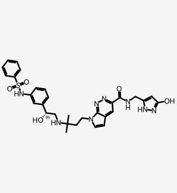 CC(C)(CCn1ccc2cc(C(=O)NCc3cc(O)n[nH]3)nnc21)NC[C@H](O)c1cccc(NS(=O)(=O)c2ccccc2)c1